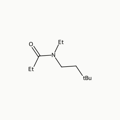 CCC(=O)N(CC)CCC(C)(C)C